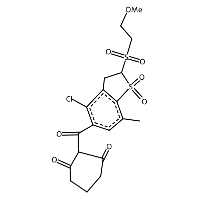 COCCS(=O)(=O)C1Cc2c(Cl)c(C(=O)C3C(=O)CCCC3=O)cc(C)c2S1(=O)=O